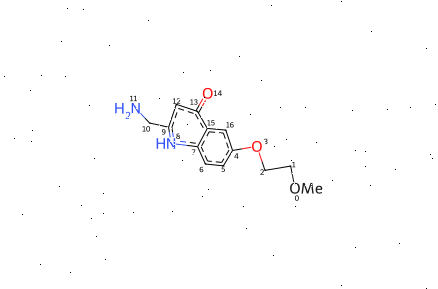 COCCOc1ccc2[nH]c(CN)cc(=O)c2c1